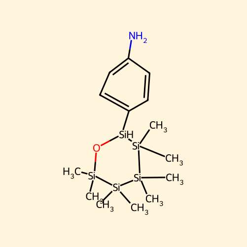 C[Si]1(C)O[SiH](c2ccc(N)cc2)[Si](C)(C)[Si](C)(C)[Si]1(C)C